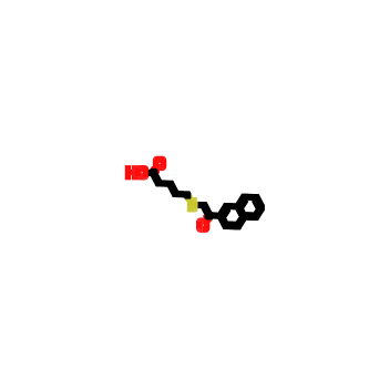 O=C(O)CCCCSCC(=O)c1ccc2ccccc2c1